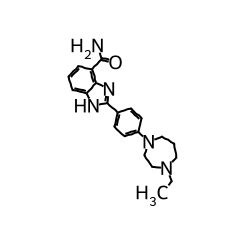 CCN1CCCN(c2ccc(-c3nc4c(C(N)=O)cccc4[nH]3)cc2)CC1